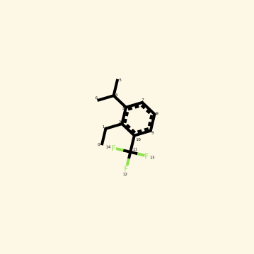 CCc1c(C(C)C)cccc1C(F)(F)F